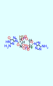 CP1(=O)OC[C@H]2O[C@@H](n3cnc4c(=O)[nH]c(N)nc43)[C@H](O[P@@](=O)(S)OC[C@H]3O[C@@H](n4cnc5c(N)ncnc54)[C@H](F)[C@@H]3O1)[C@@H]2O